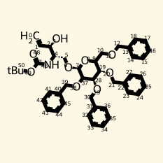 C=C[C@@H](O)[C@H](CO[C@H]1OC(COCc2ccccc2)[C@H](OCc2ccccc2)[C@@H](OCc2ccccc2)C1OCc1ccccc1)NC(=O)OC(C)(C)C